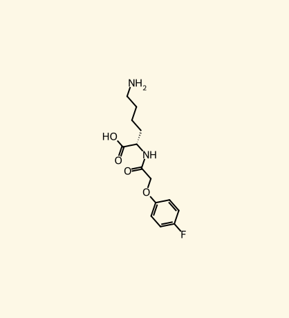 NCCCC[C@H](NC(=O)COc1ccc(F)cc1)C(=O)O